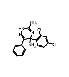 NC1=NC(N)(c2ccc(Cl)cc2Cl)C(c2ccccc2)=NN1